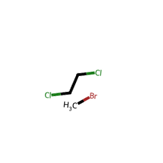 CBr.ClCCCl